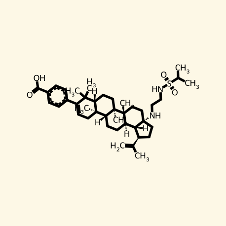 C=C(C)[C@@H]1CC[C@]2(NCCNS(=O)(=O)C(C)C)CC[C@]3(C)[C@H](CC[C@@H]4[C@@]5(C)CC=C(c6ccc(C(=O)O)cc6)C(C)(C)[C@@H]5CC[C@]43C)[C@@H]12